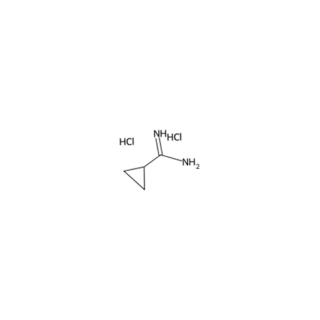 Cl.Cl.N=C(N)C1CC1